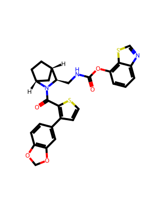 O=C(NC[C@@H]1[C@H]2CC[C@H](C2)N1C(=O)c1sccc1-c1ccc2c(c1)OCO2)Oc1cccc2ncsc12